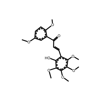 COc1ccc(OC)c(C(=O)C=Cc2c(O)c(OC)c(OC)c(OC)c2OC)c1